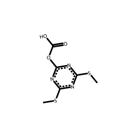 CSc1nc(OC(=O)O)nc(SC)n1